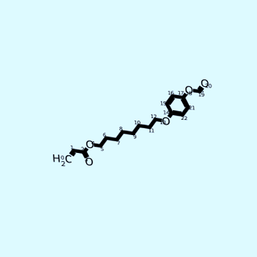 C=CC(=O)OCCCCCCCCOc1ccc(O[C]=O)cc1